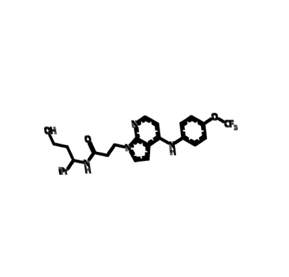 CC(C)C(CCO)NC(=O)CCn1ccc2c(Nc3ccc(OC(F)(F)F)cc3)ccnc21